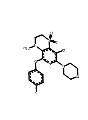 CCCCN1CCS(=O)(=O)c2c(Cl)c(N3CCOCC3)nc(Oc3ccc(F)cc3)c21